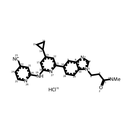 CNC(=O)CCn1cnc2cc(-c3cc(C4CC4)cc(Nc4cc(C#N)ccn4)n3)ccc21.Cl